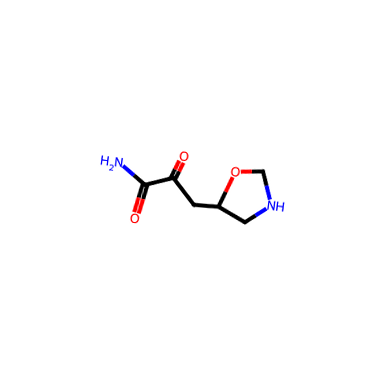 NC(=O)C(=O)CC1CNCO1